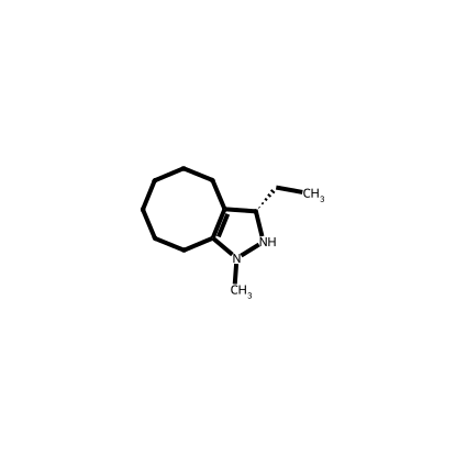 CC[C@@H]1NN(C)C2=C1CCCCCC2